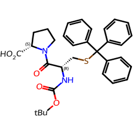 CC(C)(C)OC(=O)N[C@@H](CSC(c1ccccc1)(c1ccccc1)c1ccccc1)C(=O)N1CCC[C@H]1C(=O)O